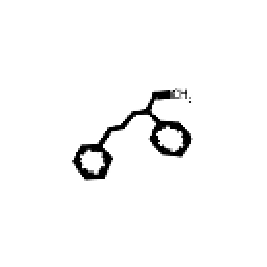 C=CC(CCCc1ccccc1)c1ccccc1